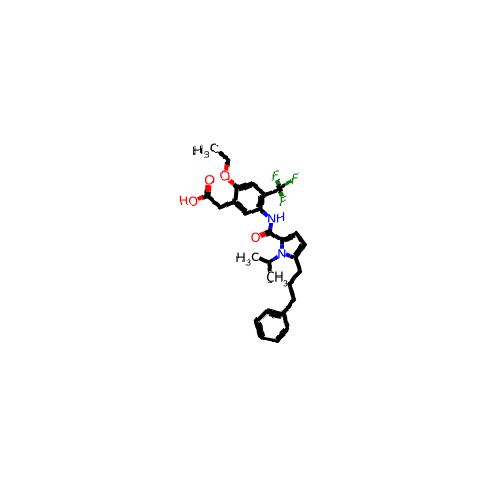 CCOc1cc(C(F)(F)F)c(NC(=O)c2ccc(CCCc3ccccc3)n2C(C)C)cc1CC(=O)O